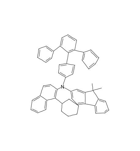 CC1(C)c2ccccc2-c2ccc(N(c3ccc(-c4c(-c5ccccc5)cccc4-c4ccccc4)cc3)c3ccc4ccccc4c3C3CCCCC3)cc21